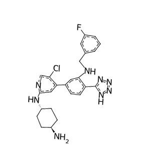 N[C@H]1CC[C@H](Nc2cc(-c3ccc(-c4nnn[nH]4)c(NCc4cccc(F)c4)c3)c(Cl)cn2)CC1